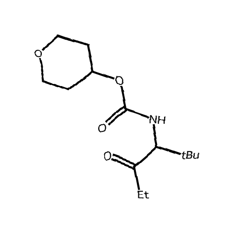 CCC(=O)C(NC(=O)OC1CCOCC1)C(C)(C)C